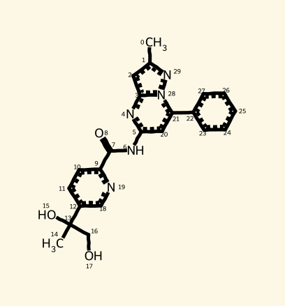 Cc1cc2nc(NC(=O)c3ccc(C(C)(O)CO)cn3)cc(-c3ccccc3)n2n1